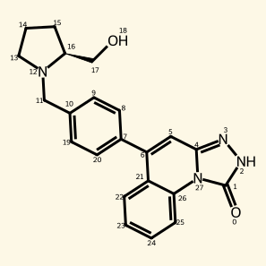 O=c1[nH]nc2cc(-c3ccc(CN4CCC[C@H]4CO)cc3)c3ccccc3n12